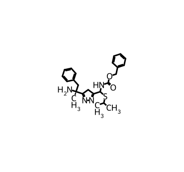 CC(C)SC(NC(=O)OCc1ccccc1)C1=NN=C([C@](C)(N)Cc2ccccc2)C1